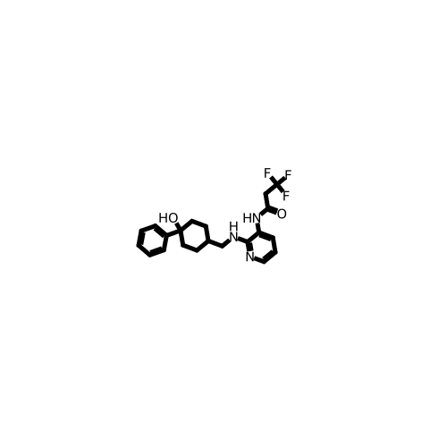 O=C(CC(F)(F)F)Nc1cccnc1NCC1CCC(O)(c2ccccc2)CC1